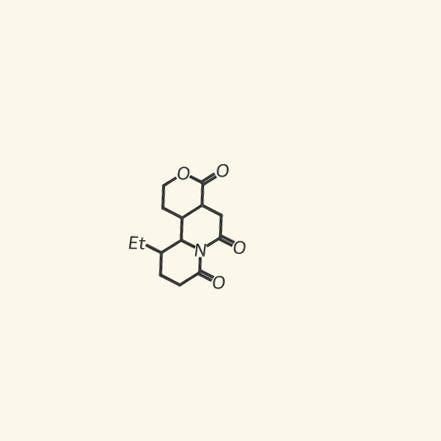 CCC1CCC(=O)N2C(=O)CC3C(=O)OCCC3C12